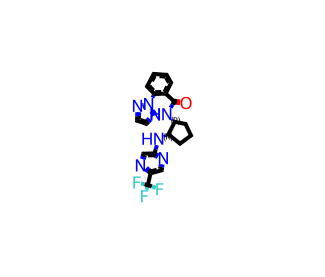 O=C(N[C@@H]1CCC[C@H]1Nc1cnc(C(F)(F)F)cn1)c1ccccc1-n1nccn1